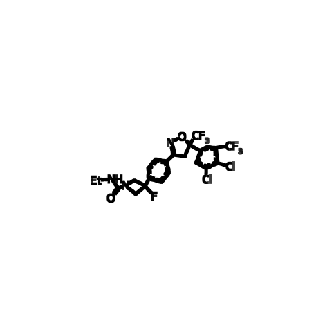 CCNC(=O)N1CC(F)(c2ccc(C3=NOC(c4cc(Cl)c(Cl)c(C(F)(F)F)c4)(C(F)(F)F)C3)cc2)C1